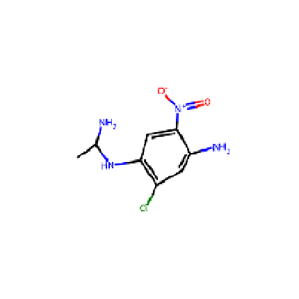 CC(N)Nc1cc([N+](=O)[O-])c(N)cc1Cl